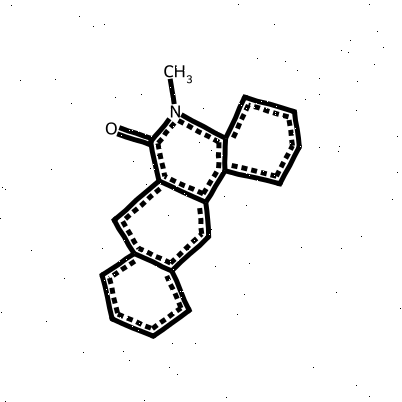 Cn1c(=O)c2cc3ccccc3cc2c2ccccc21